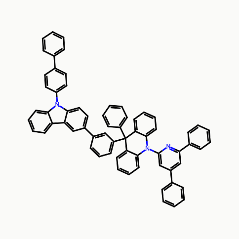 c1ccc(-c2ccc(-n3c4ccccc4c4cc(-c5cccc(C6(c7ccccc7)c7ccccc7N(c7cc(-c8ccccc8)cc(-c8ccccc8)n7)c7ccccc76)c5)ccc43)cc2)cc1